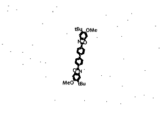 COc1cc2oc(-c3ccc(-c4ccc(-c5nc6cc(C(C)(C)C)c(OC)cc6o5)cc4)cc3)nc2cc1C(C)(C)C